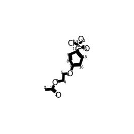 CC(=O)OCCOc1ccc(S(=O)(=O)Cl)cc1